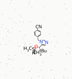 C[SiH](C)OC(c1cncn1Cc1ccc(C#N)cc1)C(C)(C)C